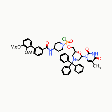 COc1cccc(-c2cccc(C(=O)NC3CCN(P(=O)(Cl)OCC4CN(C(c5ccccc5)(c5ccccc5)c5ccccc5)CC(n5cc(C)c(=O)[nH]c5=O)O4)CC3)c2)c1OC